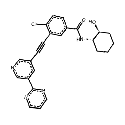 O=C(N[C@H]1CCCC[C@@H]1O)c1ccc(Cl)c(C#Cc2cncc(-c3ncccn3)c2)c1